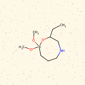 CCC1CNCCC[Si](OC)(OC)O1